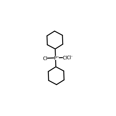 Cl[P+](Cl)(C1CCCCC1)C1CCCCC1.[Cl-]